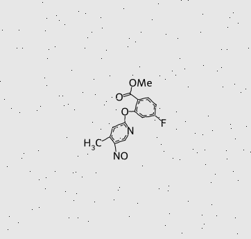 COC(=O)c1ccc(F)cc1Oc1cc(C)c(N=O)cn1